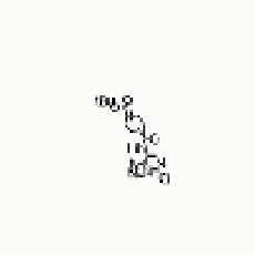 CC(C)(C)OC(=O)N1CCN(C(=O)Nc2cnc(Cl)n3cnnc23)CC1